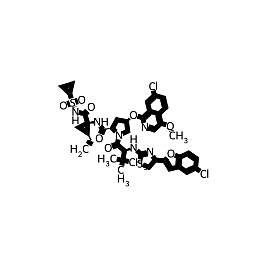 C=C[C@@H]1C[C@]1(NC(=O)[C@@H]1C[C@@H](Oc2ncc(OC)c3ccc(Cl)cc23)CN1C(=O)[C@@H](NC1=NC(c2cc3cc(Cl)ccc3o2)CS1)C(C)(C)C)C(=O)NS(=O)(=O)C1CC1